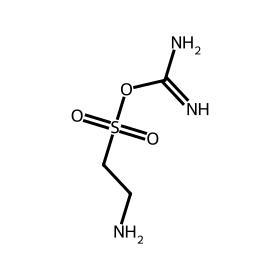 N=C(N)OS(=O)(=O)CCN